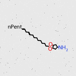 CCCCCC=CCC=CCCCCCCCCC1OC2CC(N)CC2O1